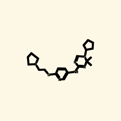 CC1(C)N=C(Nc2ccc(OCCN3CCCC3)nc2)N=CN1C1CCCC1